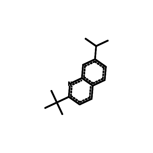 CC(C)c1ccc2ccc(C(C)(C)C)nc2c1